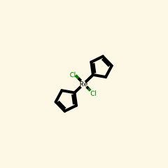 [Cl][Re]([Cl])([C]1=CC=CC1)[C]1=CC=CC1